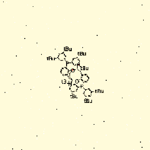 CC(C)(C)c1cc(P(c2cc(C(C)(C)C)cc(C(C)(C)C)c2)c2cccc3c2O[C@@H]2CCC[C@H](C3)Oc3c(cccc3P(c3cc(C(C)(C)C)cc(C(C)(C)C)c3)c3cc(C(C)(C)C)cc(C(C)(C)C)c3)C2)cc(C(C)(C)C)c1